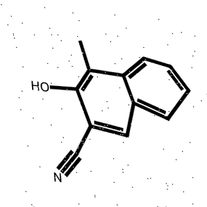 Cc1c(O)c(C#N)cc2ccccc12